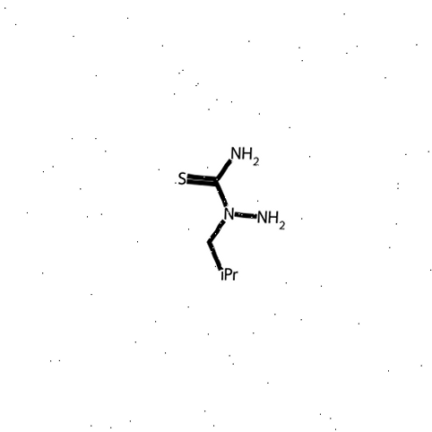 CC(C)CN(N)C(N)=S